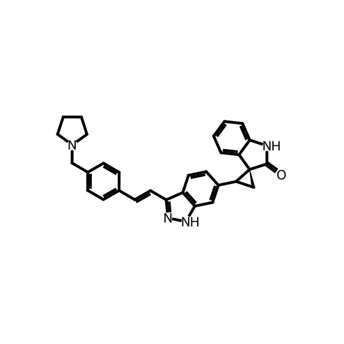 O=C1Nc2ccccc2[C@]12CC2c1ccc2c(/C=C/c3ccc(CN4CCCC4)cc3)n[nH]c2c1